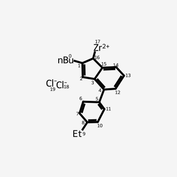 CCCCC1=Cc2c(-c3ccc(CC)cc3)cccc2[CH]1[Zr+2].[Cl-].[Cl-]